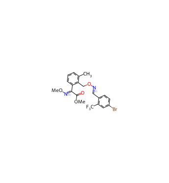 CO/N=C(/C(=O)OC)c1cccc(C)c1CO/N=C/c1ccc(Br)cc1C(F)(F)F